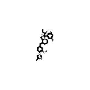 CCC(O)C1(c2cc(F)cc(F)c2)ON=C2/C(=C/c3ccc(-n4cnc(C)c4)c(OC)c3)CCCN21